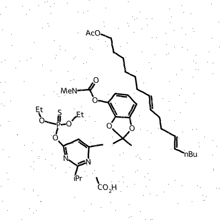 CC(=O)O.CCCCC=CCCC=CCCCCCCOC(C)=O.CCOP(=S)(OCC)Oc1cc(C)nc(C(C)C)n1.CNC(=O)Oc1cccc2c1OC(C)(C)O2